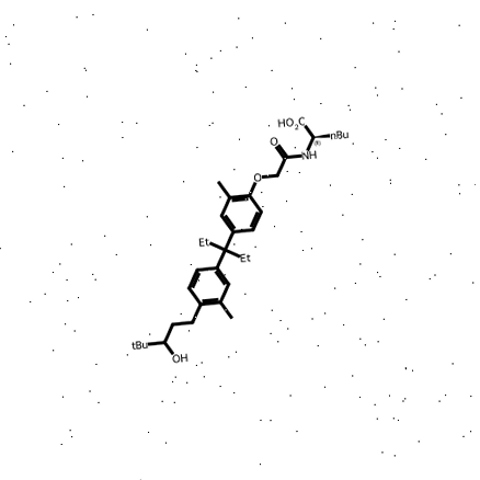 CCCC[C@@H](NC(=O)COc1ccc(C(CC)(CC)c2ccc(CCC(O)C(C)(C)C)c(C)c2)cc1C)C(=O)O